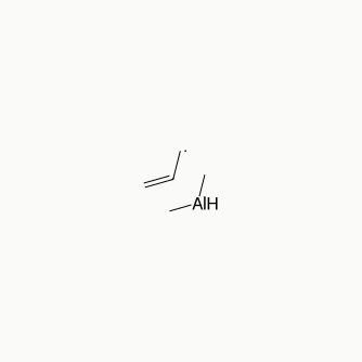 [CH2]C=C.[CH3][AlH][CH3]